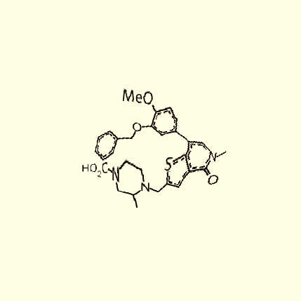 COc1ccc(-c2cn(C)c(=O)c3cc(CN4CCN(C(=O)O)CC4C)sc23)cc1OCc1ccccc1